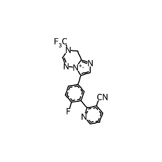 N#Cc1cccnc1-c1cc(C2=CN=C3CN(C(F)(F)F)C=N[N+]23)ccc1F